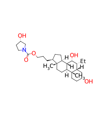 CC[C@H]1[C@@H](O)[C@@H]2[C@H](CC[C@]3(C)[C@@H](CCCOC(=O)N4CC[C@H](O)C4)CC[C@@H]23)[C@@]2(C)CC[C@@H](O)C[C@@H]12